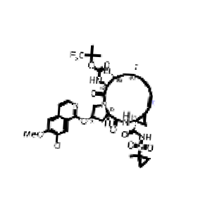 CC[C@@H]1C[C@H](C)CC/C=C\C2C[C@@]2(C(=O)NS(=O)(=O)C2(C)CC2)NC(=O)[C@@H]2C[C@@H](Oc3nccc4cc(OC)c(Cl)cc34)CN2C(=O)[C@H]1NC(=O)OC(C)(C)C(F)(F)F